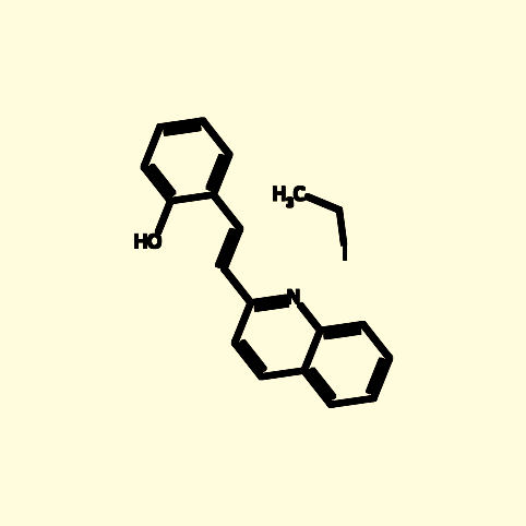 CCI.Oc1ccccc1C=Cc1ccc2ccccc2n1